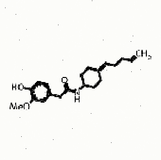 C=CCCC=C1CCC(NC(=O)Cc2ccc(O)c(OC)c2)CC1